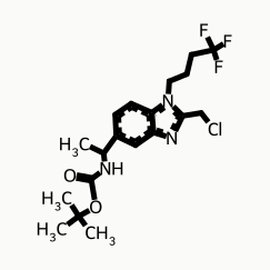 CC(NC(=O)OC(C)(C)C)c1ccc2c(c1)nc(CCl)n2CCCC(F)(F)F